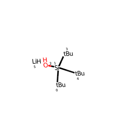 CC(C)(C)[Si](O)(C(C)(C)C)C(C)(C)C.[LiH]